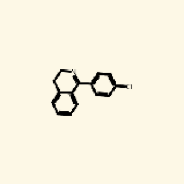 Clc1ccc(C2=NCCc3ccccc32)cc1